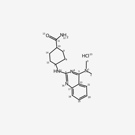 CN(C)c1nc(NC2CCC(C(N)=O)CC2)nc2ccccc12.Cl